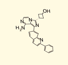 Nc1nccn2c1c(-c1ccc3ccc(-c4ccccc4)nc3c1)nc2[C@H]1C[C@H](O)C1